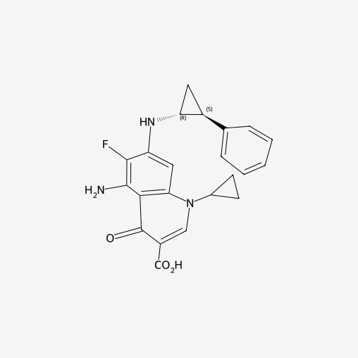 Nc1c(F)c(N[C@@H]2C[C@H]2c2ccccc2)cc2c1c(=O)c(C(=O)O)cn2C1CC1